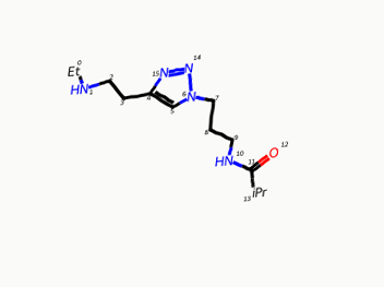 CCNCCc1cn(CCCNC(=O)C(C)C)nn1